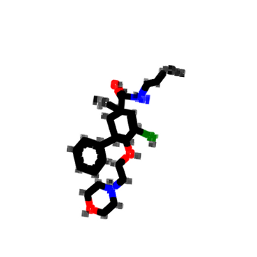 CCCCCCCCCCCCNC(=O)C1(C(F)(F)F)C=C(Br)C(OCCN2CCOCC2)=C(c2ccccc2)C1